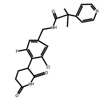 CC(C)(C(=O)NCc1cc(F)c(C2CCC(=O)NC2=O)c(Cl)c1)c1ccncc1